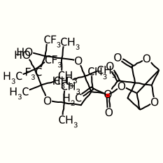 C=C(C)C(=O)OC1C2CC3(C(=O)OC(CC(C)(C)OC(C)(C)C(C)(O)C(F)(F)F)C(C)(C)OC(C)(C)C(O)(C(F)(F)F)C(F)(F)F)C(=O)OC1C3O2